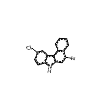 Clc1ccc2[nH]c3cc(Br)c4ccccc4c3c2c1